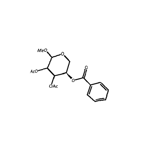 COC1OC[C@@H](OC(=O)c2ccccc2)C(OC(C)=O)C1OC(C)=O